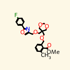 COC(=O)c1c(C)cccc1COCC1(COCc2coc(-c3ccc(F)cc3)n2)COCOC1